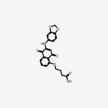 O=C(O)CCCOc1cccc2c1C(=O)C=C(Nc1ccc3c(c1)OCO3)C2=O